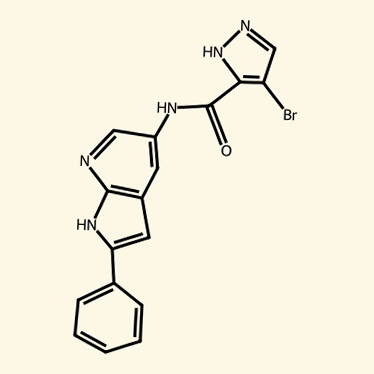 O=C(Nc1cnc2[nH]c(-c3ccccc3)cc2c1)c1[nH]ncc1Br